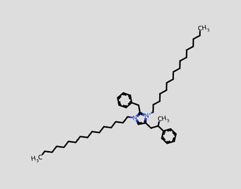 CCCCCCCCCCCCCCCCn1cc(CC(C)c2ccccc2)[n+](CCCCCCCCCCCCCCCC)c1Cc1ccccc1